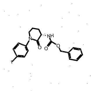 O=C(N[C@H]1CCCN(c2ccc(I)cc2)C1=O)OCc1ccccc1